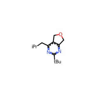 CC(C)Cc1nc(C(C)(C)C)nc2c1COC2